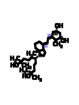 C=C1/C(=C\C=C2/CCC[C@@]3(C)C2CC[C@@H]3C(CCCC(C)(C)O)CCCC(C)(C)O)C[C@H](O)C[C@@H]1O